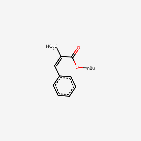 CCCCOC(=O)C(=Cc1ccccc1)C(=O)O